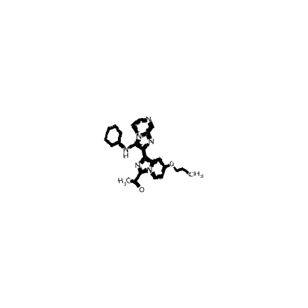 CCCOc1ccn2c(C(C)=O)nc(-c3nc4cnccn4c3NC3CCCCC3)c2c1